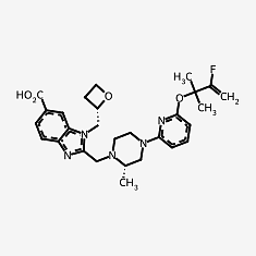 C=C(F)C(C)(C)Oc1cccc(N2CCN(Cc3nc4ccc(C(=O)O)cc4n3C[C@@H]3CCO3)[C@@H](C)C2)n1